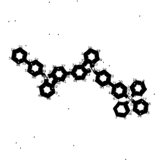 C1=CCCC([Si](c2ccccc2)(c2ccccc2)c2ccc(-c3ccc(-n4c5ccccc5c5cc(-c6ccc7c(c6)c6ccccc6n7-c6ccc(-c7ccccc7)cc6)ccc54)cc3)cc2)=C1